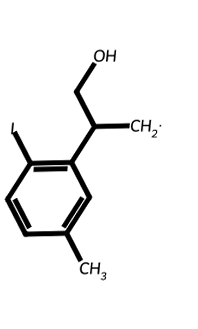 [CH2]C(CO)c1cc(C)ccc1I